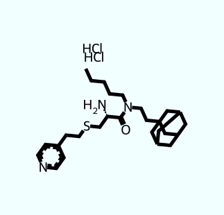 CCCCCN(CCC12CC3CC(CC(C3)C1)C2)C(=O)[C@@H](N)CSCCc1ccncc1.Cl.Cl